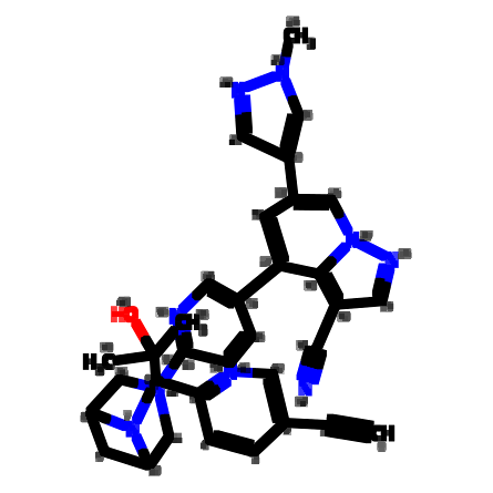 C#Cc1ccc(C(N2C3CC2CN(c2ccc(-c4cc(-c5cnn(C)c5)cn5ncc(C#N)c45)cn2)C3)C(C)(C)O)nc1